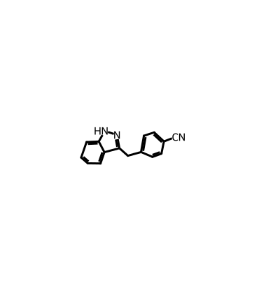 N#Cc1ccc(Cc2n[nH]c3ccccc23)cc1